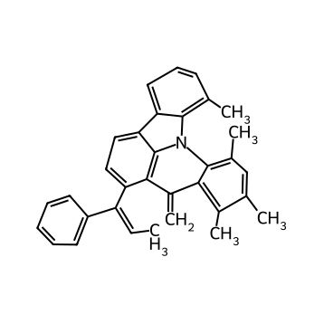 C=c1c2c(C)c(C)cc(C)c2n2c3c(C)cccc3c3ccc(/C(=C\C)c4ccccc4)c1c32